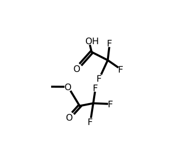 COC(=O)C(F)(F)F.O=C(O)C(F)(F)F